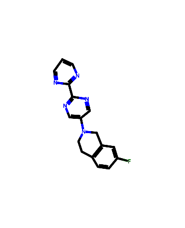 Fc1ccc2c(c1)CN(c1cnc(-c3ncccn3)nc1)CC2